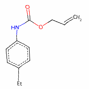 C=CCOC(=O)Nc1ccc(CC)cc1